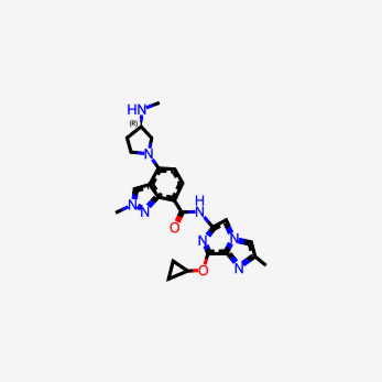 CN[C@@H]1CCN(c2ccc(C(=O)Nc3cn4cc(C)nc4c(OC4CC4)n3)c3nn(C)cc23)C1